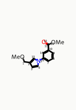 COCc1ccn(-c2cccc(C(=O)OC)c2)c1